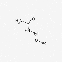 CC(=O)ONNC(N)=O